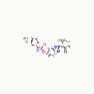 CCOc1cccc(NC(=O)Oc2ccc3nc(-c4c(Cl)cccc4Cl)[nH]c3c2)c1